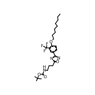 CCCCCCCCCOc1ccc(-c2noc(CCCNC(=O)OC(C)(C)C)n2)cc1C(F)(F)F